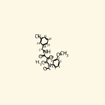 COc1cccc(N(C=O)C(C)C(=O)C(=O)NCc2cccc(Cl)c2)c1